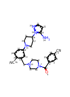 N#Cc1ccc(C(=O)N2CCN(Cc3cc(N4CCC(n5nccc5N)CC4)ccc3C#N)CC2)cc1